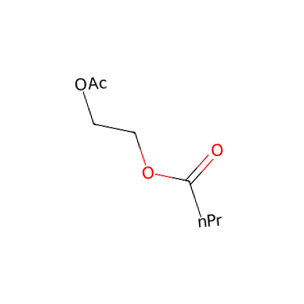 CCCC(=O)OCCOC(C)=O